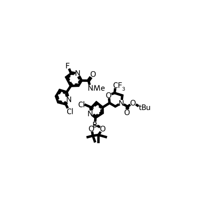 CC(C)(C)OC(=O)N1CC(c2cc(Cl)nc(B3OC(C)(C)C(C)(C)O3)c2)OC(C(F)(F)F)C1.CNC(=O)c1cc(-c2cccc(Cl)n2)cc(F)n1